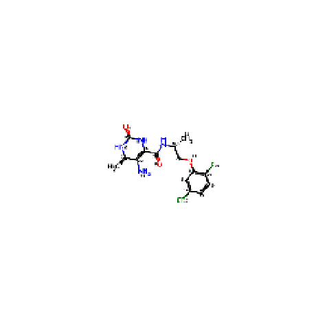 C=C1NC(=O)NC(C(=O)N[C@H](C)COc2cc(Cl)ccc2F)=C1N